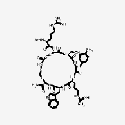 CC(=O)N[C@@H](CCCNC(=N)N)C(=O)N[C@H]1CCC(=O)NCCC[C@@H](C(N)=O)NC(=O)[C@H](Cc2c[nH]c3ccccc23)NC(=O)[C@H](CCCNC(=N)N)NC(=O)[C@@H](Cc2ccc(N)cc2)NC(=O)[C@H](CO)NC1=O